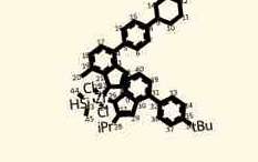 CC1=Cc2c(-c3ccc(C4CCCCC4)cc3)ccc(C)c2[CH]1[Zr]([Cl])([Cl])([CH]1C(C(C)C)=Cc2c(-c3ccc(C(C)(C)C)cc3)cccc21)[SiH](C)C